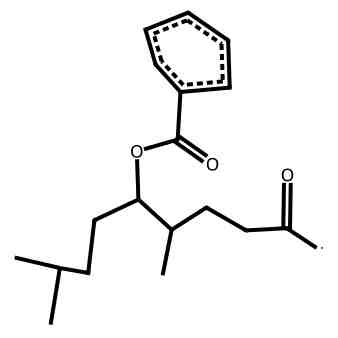 [CH2]C(=O)CCC(C)C(CCC(C)C)OC(=O)c1ccccc1